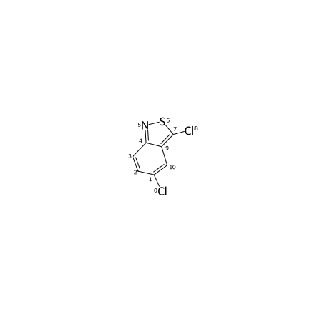 Clc1ccc2nsc(Cl)c2c1